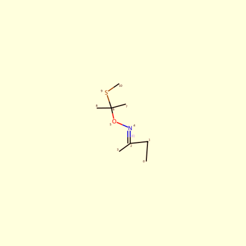 CC/C(C)=N/OC(C)(C)SC